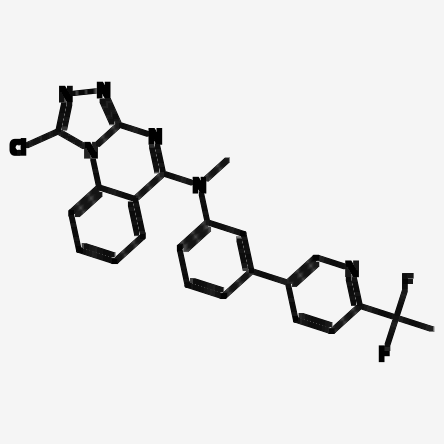 CN(c1cccc(-c2ccc(C(C)(F)F)nc2)c1)c1nc2nnc(Cl)n2c2ccccc12